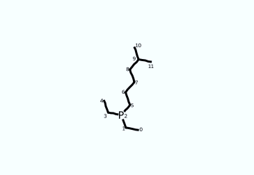 CCP(CC)CCCCC(C)C